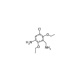 CCOc1c(N)cc(Cl)c(OCC)c1CN